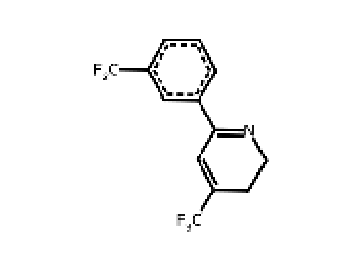 FC(F)(F)C1=CC(c2cccc(C(F)(F)F)c2)=NCC1